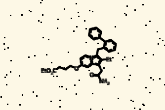 CCOC(=O)CCCOc1ccn2c(Cc3ccccc3-c3ccccc3)c(CC)c(CC(N)=O)c2c1